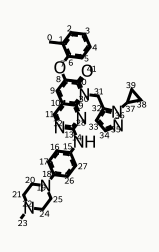 Cc1ccccc1Oc1cc2cnc(Nc3ccc(N4CCN(C)CC4)cc3)nc2n(Cc2ccnn2C2CC2)c1=O